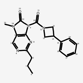 CCCc1ncc2c(n1)n(C(=O)N1CC(c3ccccc3)C1)c(=O)n2C